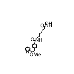 COC(Cc1ccc(C(=O)NCCCCCCC(=O)NO)cc1)c1ccccn1